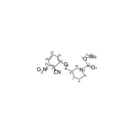 CC(C)(C)OC(=O)N1CCCC(COc2cccc([N+](=O)[O-])c2C#N)C1